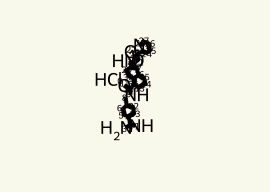 Cl.N=C(N)c1ccc(CNC(=O)c2cccc3cc(NS(=O)(=O)c4ccccn4)ccc23)cc1